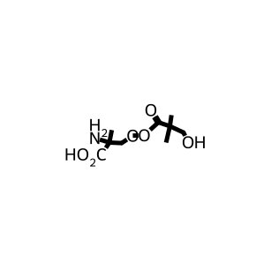 CC(C)(CO)C(=O)OOCC(C)(N)C(=O)O